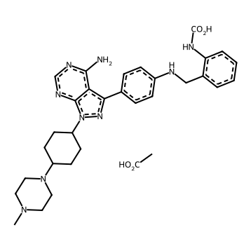 CC(=O)O.CN1CCN(C2CCC(n3nc(-c4ccc(NCc5ccccc5NC(=O)O)cc4)c4c(N)ncnc43)CC2)CC1